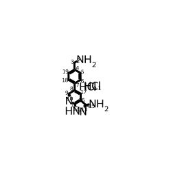 Cl.Cl.NCc1ccc(-c2cnc3[nH]nc(N)c3c2)cc1